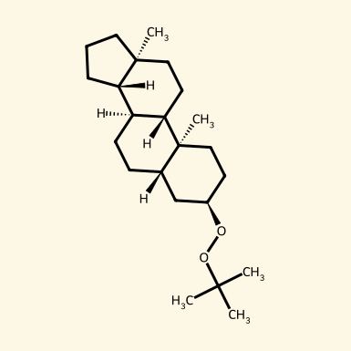 CC(C)(C)OO[C@@H]1CC[C@@]2(C)[C@@H](CC[C@H]3[C@@H]4CCC[C@@]4(C)CC[C@@H]32)C1